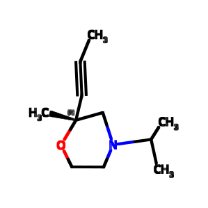 CC#C[C@]1(C)CN(C(C)C)CCO1